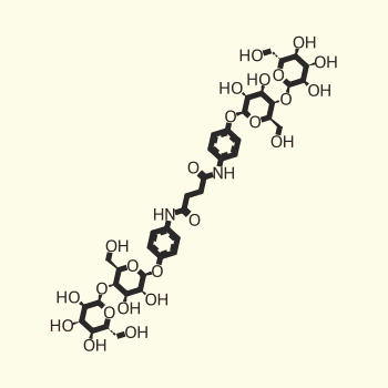 O=C(CCC(=O)Nc1ccc(O[C@@H]2O[C@H](CO)[C@@H](O[C@H]3O[C@H](CO)[C@@H](O)[C@H](O)[C@H]3O)[C@H](O)[C@H]2O)cc1)Nc1ccc(O[C@@H]2O[C@H](CO)[C@@H](O[C@H]3O[C@H](CO)[C@@H](O)[C@H](O)[C@H]3O)[C@H](O)[C@H]2O)cc1